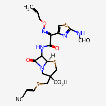 C=CCON=C(C(=O)NC1C(=O)N2CC(CSC=CC#N)(C(=O)O)CS[C@H]12)c1csc(NC=O)n1